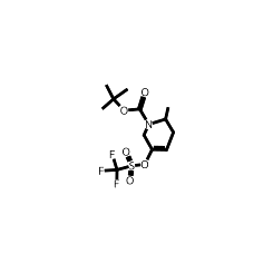 CC1CC=C(OS(=O)(=O)C(F)(F)F)CN1C(=O)OC(C)(C)C